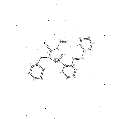 CC(=O)NCC(=O)[C@H](Cc1ccccc1)NC(=O)c1ccccc1C=Cc1ccccn1